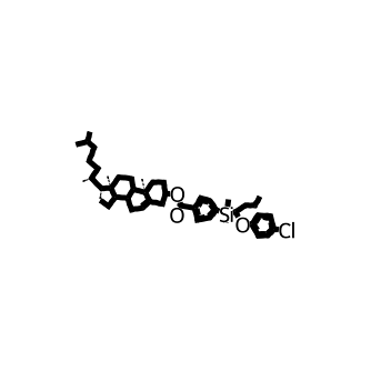 CCCC(Oc1ccc(Cl)cc1)[Si](C)(C)c1ccc(C(=O)OC2CC[C@@]3(C)C(=CCC4C3CC[C@@]3(C)C4CC[C@@H]3[C@H](C)CCCC(C)C)C2)cc1